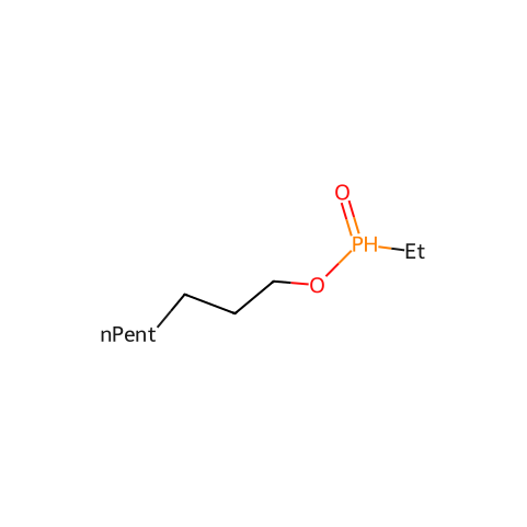 CCCCCCCCO[PH](=O)CC